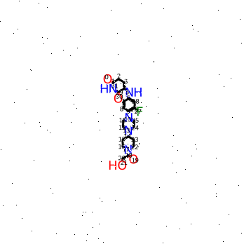 O=C1CCC(Nc2ccc(N3CCN(C4CCN(C(=O)CO)CC4)CC3)c(F)c2)C(=O)N1